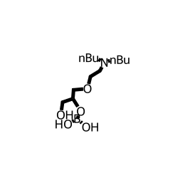 CCCCN(CCCC)CCOCC(CO)OB(O)O